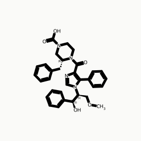 COC[C@@H]([C@@H](O)c1ccccc1)n1cnc(C(=O)N2CCN(C(=O)O)C[C@H]2Cc2ccccc2)c1-c1ccccc1